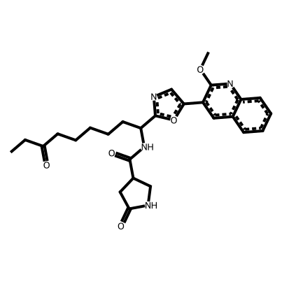 CCC(=O)CCCCCC(NC(=O)C1CNC(=O)C1)c1ncc(-c2cc3ccccc3nc2OC)o1